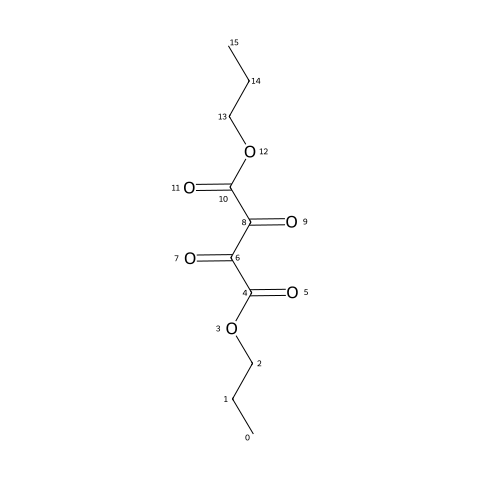 CCCOC(=O)C(=O)C(=O)C(=O)OCCC